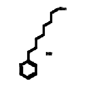 Br.CCCCCCCCCCCCCCCCc1ccccn1